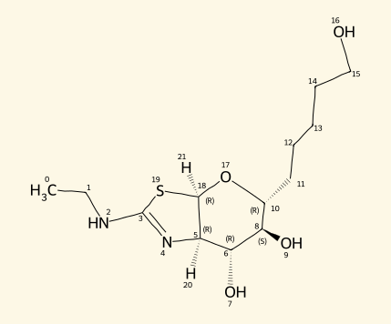 CCNC1=N[C@@H]2[C@@H](O)[C@H](O)[C@@H](CCCCCO)O[C@@H]2S1